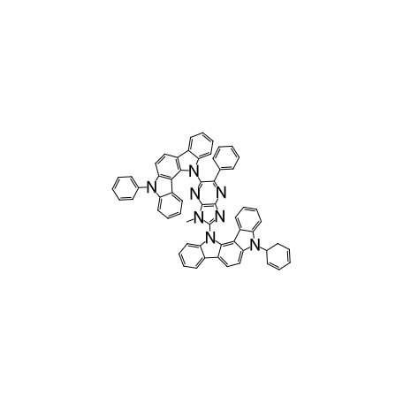 Cn1c(-n2c3ccccc3c3ccc4c(c5ccccc5n4C4C=CC=CC4)c32)nc2nc(-c3ccccc3)c(-n3c4ccccc4c4ccc5c(c6ccccc6n5-c5ccccc5)c43)nc21